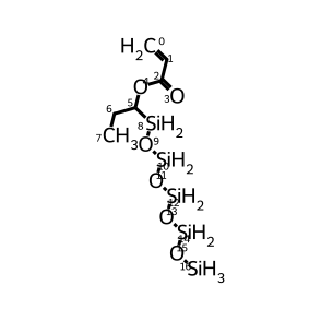 C=CC(=O)OC(CC)[SiH2]O[SiH2]O[SiH2]O[SiH2]O[SiH3]